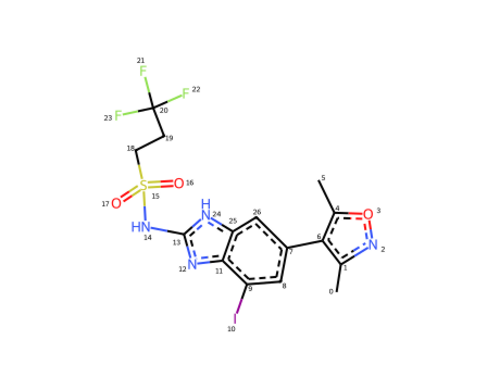 Cc1noc(C)c1-c1cc(I)c2nc(NS(=O)(=O)CCC(F)(F)F)[nH]c2c1